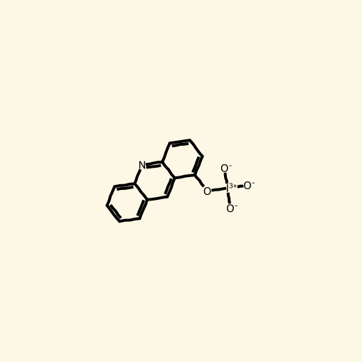 [O-][I+3]([O-])([O-])Oc1cccc2nc3ccccc3cc12